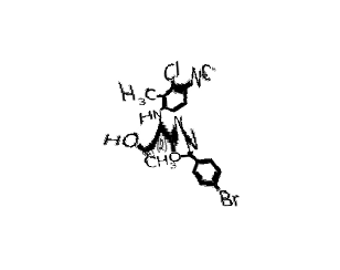 [C-]#[N+]c1ccc(N[C@@H](c2nnc(-c3ccc(Br)cc3)o2)[C@H](C)O)c(C)c1Cl